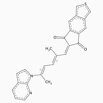 C/C(C=C1C(=O)c2cc3cscc3cc2C1=O)=C\C=C(/C)n1ccc2cccnc21